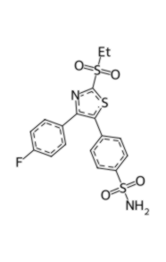 CCS(=O)(=O)c1nc(-c2ccc(F)cc2)c(-c2ccc(S(N)(=O)=O)cc2)s1